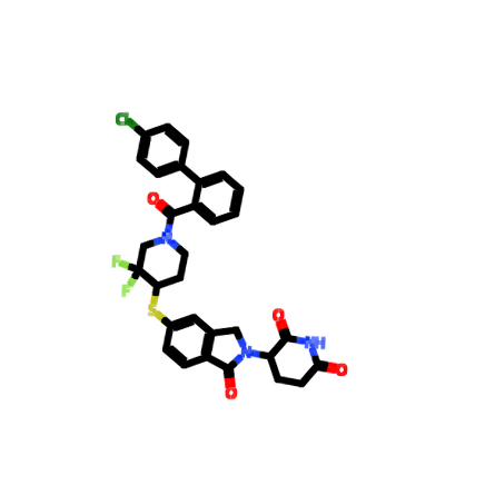 O=C1CCC(N2Cc3cc(SC4CCN(C(=O)c5ccccc5-c5ccc(Cl)cc5)CC4(F)F)ccc3C2=O)C(=O)N1